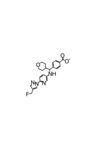 COC(=O)c1ccc(C(Nc2ccc(-n3cc(CF)cn3)nc2)C2CCOCC2)cc1